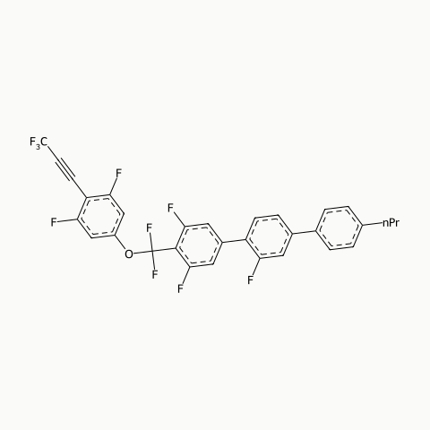 CCCc1ccc(-c2ccc(-c3cc(F)c(C(F)(F)Oc4cc(F)c(C#CC(F)(F)F)c(F)c4)c(F)c3)c(F)c2)cc1